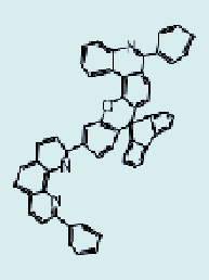 c1ccc(-c2ccc3ccc4ccc(-c5ccc6c(c5)Oc5c(ccc7c(-c8ccccc8)nc8ccccc8c57)C65c6ccccc6-c6ccccc65)nc4c3n2)cc1